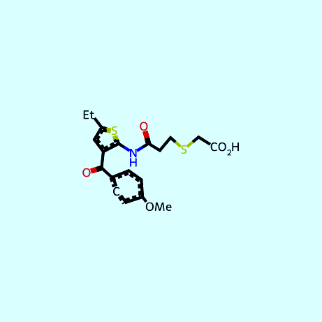 CCc1cc(C(=O)c2ccc(OC)cc2)c(NC(=O)CCSCC(=O)O)s1